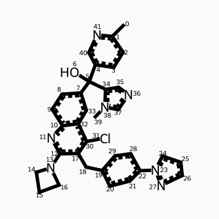 Cc1ccc(C(O)(c2ccc3nc(N4CCC4)c(Cc4ccc(-n5cccn5)cc4)c(Cl)c3c2)c2cncn2C)cn1